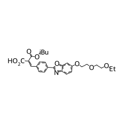 CCOCCOCCOc1ccc2nc(-c3ccc(C=C(C(=O)O)C(=O)OC(C)CC)cc3)oc2c1